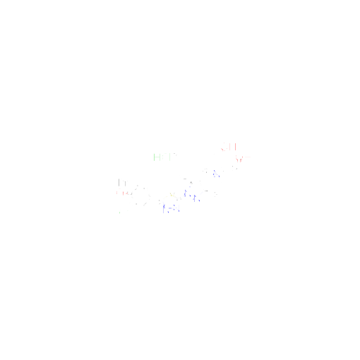 Cc1c2c(nn1-c1nnc(-c3ccc(OC(C)C)c(Cl)c3)s1)CCN(C(CO)CO)C2.Cl